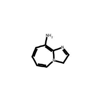 NC1=C2N=CCN2C=CC=C1